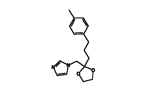 Cc1ccc(CCCC2(Cn3ccnc3)OCCO2)cc1